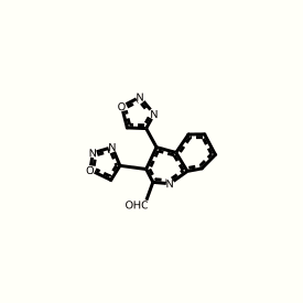 O=Cc1nc2ccccc2c(-c2conn2)c1-c1conn1